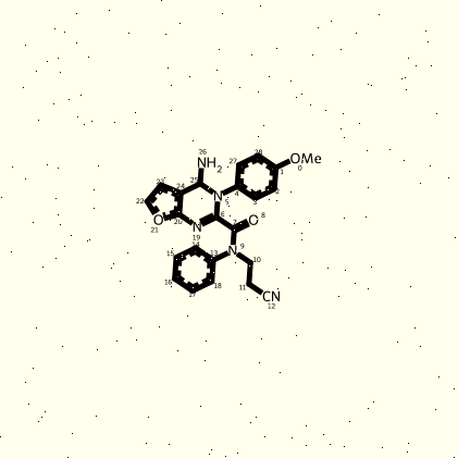 COc1ccc(N2C(C(=O)N(CCC#N)c3ccccc3)=Nc3occc3C2N)cc1